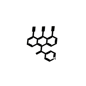 C#Cc1cccc2c(C(=C)c3ccncc3)c3cccc(C#C)c3c(C#C)c12